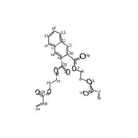 C=CC(=O)OCCOC(=O)c1cc2ccccc2cc1C(=O)OCCOC(=O)C=C